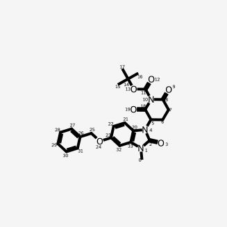 Cn1c(=O)n(C2CCC(=O)N(C(=O)OC(C)(C)C)C2=O)c2ccc(OCc3ccccc3)cc21